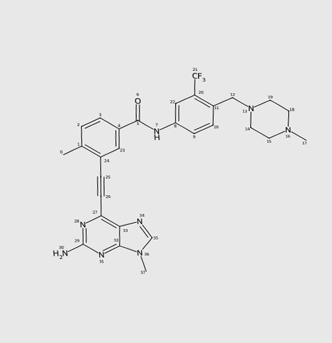 Cc1ccc(C(=O)Nc2ccc(CN3CCN(C)CC3)c(C(F)(F)F)c2)cc1C#Cc1nc(N)nc2c1ncn2C